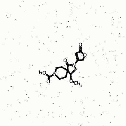 COC1CN(C2=CC(=O)OC2)C(=O)C12CCN(C(=O)O)CC2